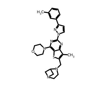 Cc1cccc(-c2ccn(-c3nc(N4CCOCC4)c4sc(CN5CCN6CC5C6)c(C)c4n3)n2)c1